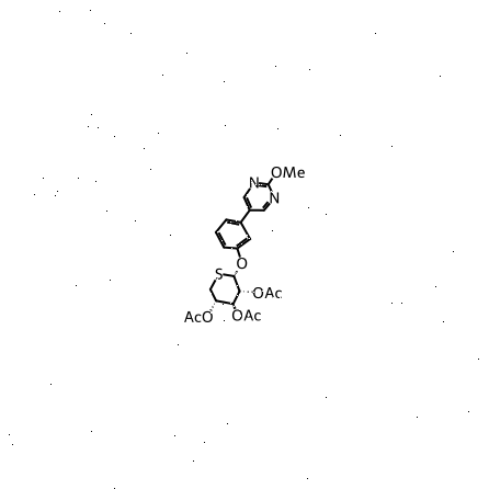 COc1ncc(-c2cccc(O[C@H]3SC[C@@H](OC(C)=O)[C@H](OC(C)=O)[C@H]3OC(C)=O)c2)cn1